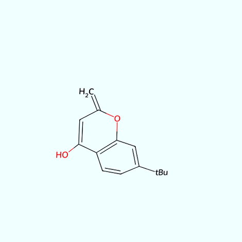 C=C1C=C(O)c2ccc(C(C)(C)C)cc2O1